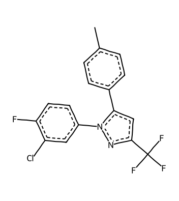 Cc1ccc(-c2cc(C(F)(F)F)nn2-c2ccc(F)c(Cl)c2)cc1